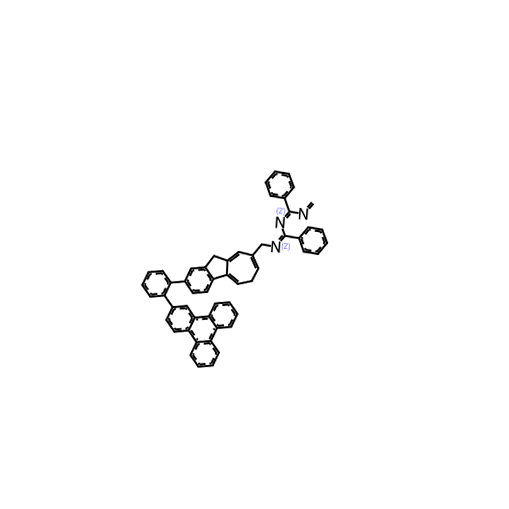 C=N/C(=N\C(=N/CC1=CCC=C2C(=C1)Cc1cc(-c3ccccc3-c3ccc4c5ccccc5c5ccccc5c4c3)ccc12)c1ccccc1)c1ccccc1